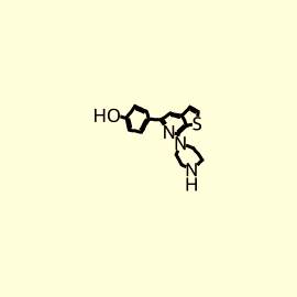 Oc1ccc(-c2cc3ccsc3c(N3CCNCC3)n2)cc1